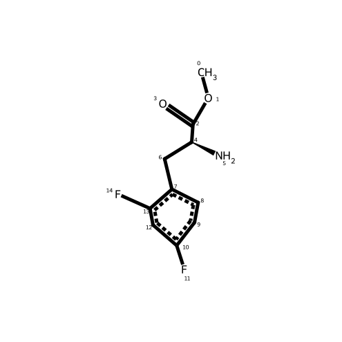 COC(=O)[C@@H](N)Cc1ccc(F)cc1F